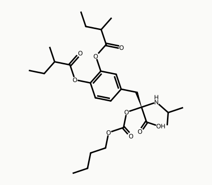 CCCCOC(=O)O[C@](Cc1ccc(OC(=O)C(C)CC)c(OC(=O)C(C)CC)c1)(NC(C)C)C(=O)O